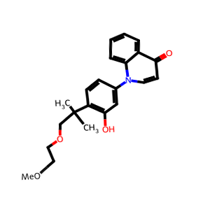 COCCOCC(C)(C)c1ccc(-n2ccc(=O)c3ccccc32)cc1O